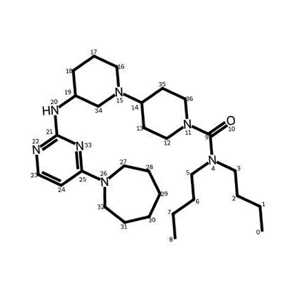 CCCCN(CCCC)C(=O)N1CCC(N2CCCC(Nc3nccc(N4CCCCCC4)n3)C2)CC1